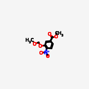 COCOc1cc(C(=O)OC)ccc1[N+](=O)[O-]